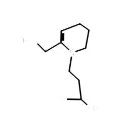 CCC1=[C]CCCN1CCC(C)C